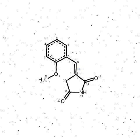 COc1ccccc1/C=C1\CC(=O)NC1=O